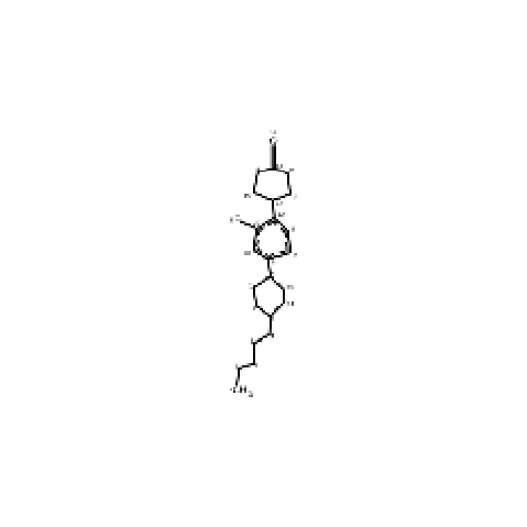 CCCCCC1CCC(c2ccc(C3CCC(=O)CC3)c(F)c2)CC1